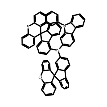 c1ccc(-n2c3ccccc3c3ccc(N(c4ccc5c(c4)C4(c6ccccc6Oc6ccccc64)c4ccccc4-5)c4cccc5c4-c4ccccc4C54c5ccccc5Sc5ccccc54)cc32)cc1